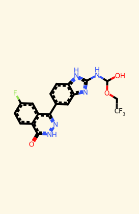 O=c1[nH]nc(-c2ccc3[nH]c(NC(O)OCC(F)(F)F)nc3c2)c2cc(F)ccc12